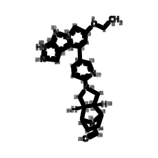 CCOc1cc(-c2ccc(N3C[C@@H]4C5CCC([C@@H]4C3)N5C=O)nc2)c2c3cn[nH]c3nn2c1